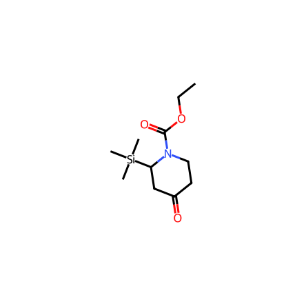 CCOC(=O)N1CCC(=O)CC1[Si](C)(C)C